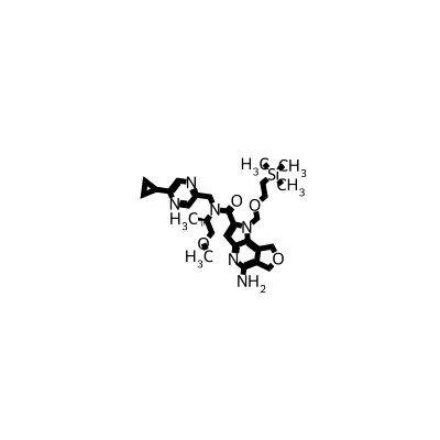 COC[C@@H](C)N(Cc1cnc(C2CC2)cn1)C(=O)c1cc2nc(N)c3c(c2n1COCC[Si](C)(C)C)COC3